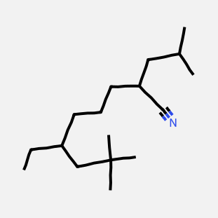 CCC(CCCC(C#N)CC(C)C)CC(C)(C)C